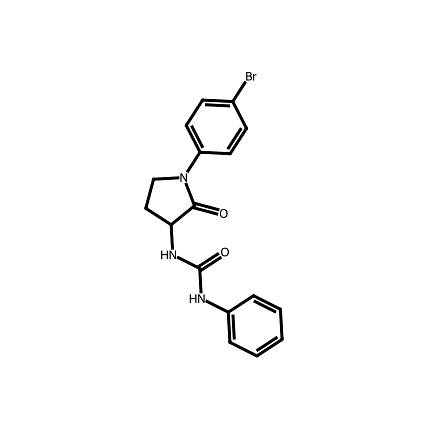 O=C(Nc1ccccc1)NC1CCN(c2ccc(Br)cc2)C1=O